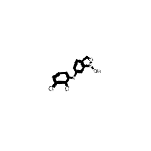 OB1OCc2ccc(Sc3cccc(Cl)c3Cl)cc21